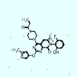 C=CC(=O)N1CCN(c2nc(Oc3cnn(C)c3)nc3c(=O)n(-c4c(O)cccc4F)c(C)cc23)CC1